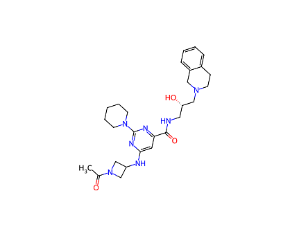 CC(=O)N1CC(Nc2cc(C(=O)NC[C@H](O)CN3CCc4ccccc4C3)nc(N3CCCCC3)n2)C1